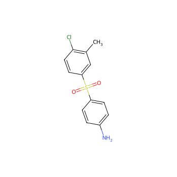 Cc1cc(S(=O)(=O)c2ccc(N)cc2)ccc1Cl